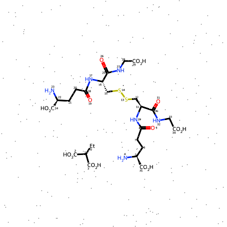 CCC(C(=O)O)C(=O)O.N[C@@H](CCC(=O)N[C@@H](CSSC[C@H](NC(=O)CC[C@H](N)C(=O)O)C(=O)NCC(=O)O)C(=O)NCC(=O)O)C(=O)O